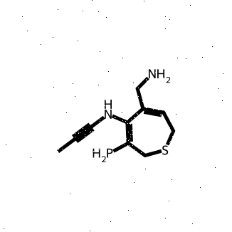 CC#CNC1=C(P)CSCC=C1CN